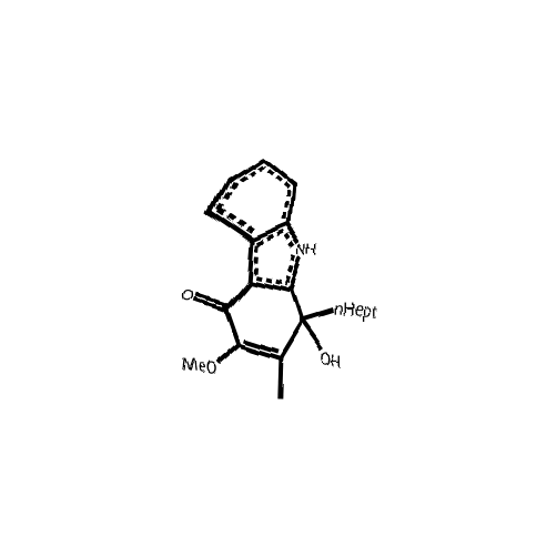 CCCCCCCC1(O)C(C)=C(OC)C(=O)c2c1[nH]c1ccccc21